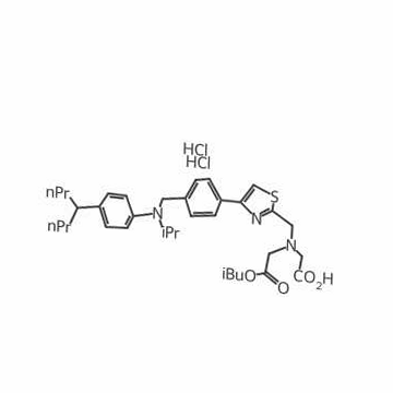 CCCC(CCC)c1ccc(N(Cc2ccc(-c3csc(CN(CC(=O)O)CC(=O)OCC(C)C)n3)cc2)C(C)C)cc1.Cl.Cl